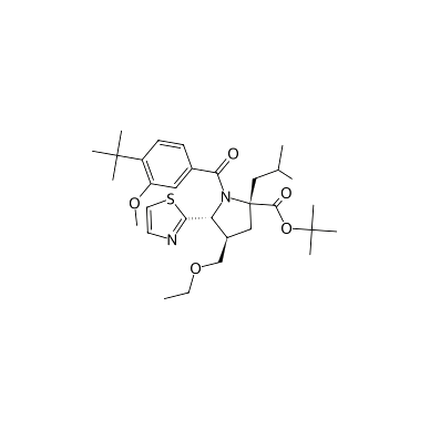 CCOC[C@@H]1C[C@@](CC(C)C)(C(=O)OC(C)(C)C)N(C(=O)c2ccc(C(C)(C)C)c(OC)c2)[C@H]1c1nccs1